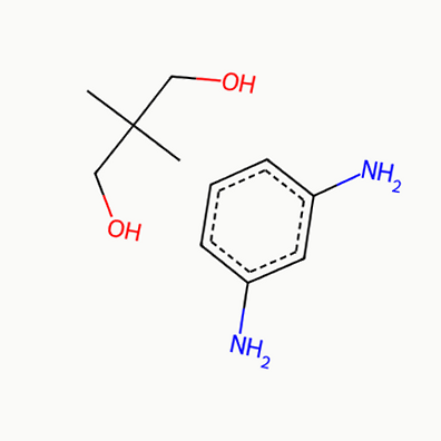 CC(C)(CO)CO.Nc1cccc(N)c1